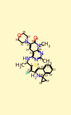 Cc1nc(N[C@H](C)c2sc(-c3ccccc3C3(N)CC3)cc2F)c2cc(N3CCOCC3)c(=O)n(C)c2n1